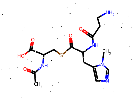 CC(=O)NC(CSC(=O)C(Cc1cncn1C)NC(=O)CCN)C(=O)O